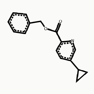 O=C(OCc1ccccc1)c1ccc(C2CC2)cn1